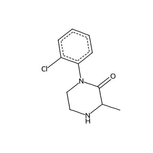 CC1NCCN(c2ccccc2Cl)C1=O